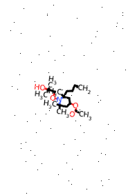 C=CCCC1(C)CC(OC(C)=O)CC(C)(C)N1OCC(C)(C)O